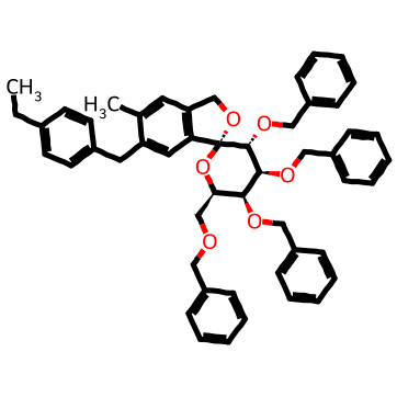 CCc1ccc(Cc2cc3c(cc2C)CO[C@]32O[C@H](COCc3ccccc3)[C@H](OCc3ccccc3)[C@H](OCc3ccccc3)[C@H]2OCc2ccccc2)cc1